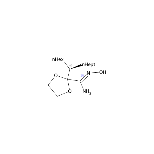 CCCCCCC[C@H](CCCCCC)C1(/C(N)=N/O)OCCO1